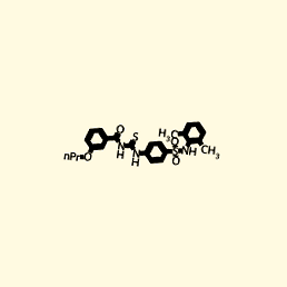 CCCOc1cccc(C(=O)NC(=S)Nc2ccc(S(=O)(=O)Nc3c(C)cccc3C)cc2)c1